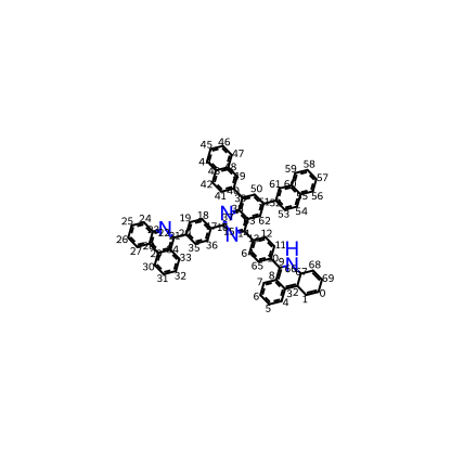 C1=CC2=c3ccccc3=C(c3ccc(-c4nc(-c5ccc(-c6nc7ccccc7c7ccccc67)cc5)nc5c(-c6ccc7ccccc7c6)cc(-c6ccc7ccccc7c6)cc45)cc3)NC2C=C1